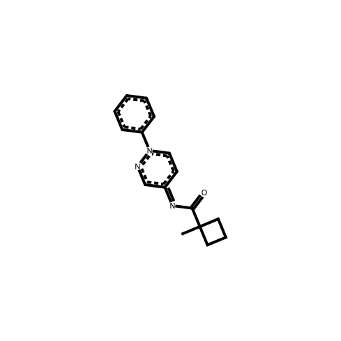 CC1(C(=O)/N=c2\ccn(-c3ccccc3)nc2)CCC1